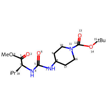 COC(=O)[C@@H](NC(=O)NC1CCN(C(=O)OC(C)(C)C)CC1)C(C)C